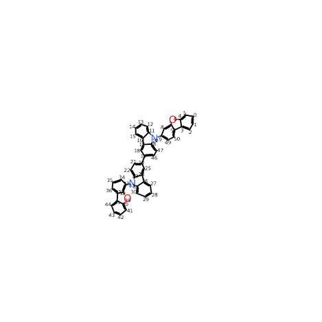 c1ccc2c(c1)oc1cc(-n3c4ccccc4c4cc(-c5ccc6c(c5)c5ccccc5n6-c5cccc6c5oc5ccccc56)ccc43)ccc12